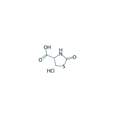 Cl.O=C1NC(C(=O)O)CS1